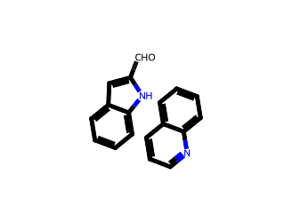 O=Cc1cc2ccccc2[nH]1.c1ccc2ncccc2c1